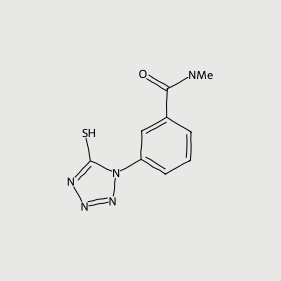 CNC(=O)c1cccc(-n2nnnc2S)c1